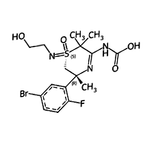 CC1(C)C(NC(=O)O)=N[C@](C)(c2cc(Br)ccc2F)C[S@@]1(=O)=NCCO